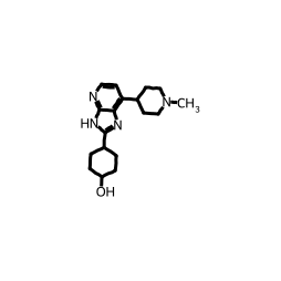 CN1CCC(c2ccnc3[nH]c(C4CCC(O)CC4)nc23)CC1